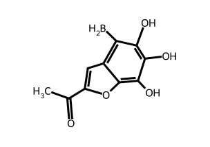 Bc1c(O)c(O)c(O)c2oc(C(C)=O)cc12